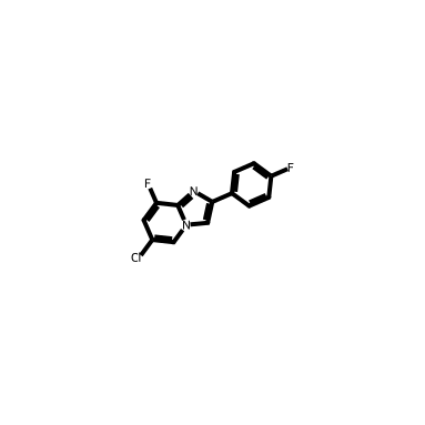 Fc1ccc(-c2cn3cc(Cl)cc(F)c3n2)cc1